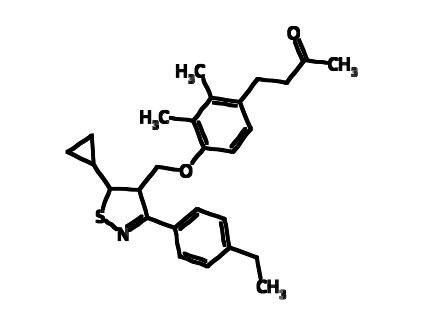 CCc1ccc(C2=NSC(C3CC3)C2COc2ccc(CCC(C)=O)c(C)c2C)cc1